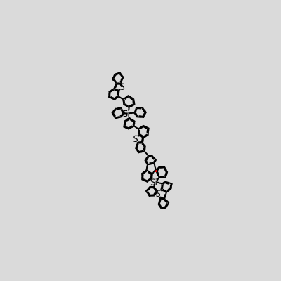 c1ccc([Si](c2ccccc2)(c2cccc(-c3cccc4c3sc3ccccc34)c2)c2cccc(-c3cccc4c3sc3ccc(-c5ccc6c(c5)-c5cccc([Si](c7ccccc7)(c7ccccc7)c7cccc8c7sc7ccccc78)c5C6)cc34)c2)cc1